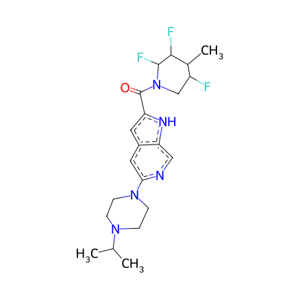 CC1C(F)CN(C(=O)c2cc3cc(N4CCN(C(C)C)CC4)ncc3[nH]2)C(F)C1F